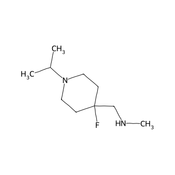 CNCC1(F)CCN(C(C)C)CC1